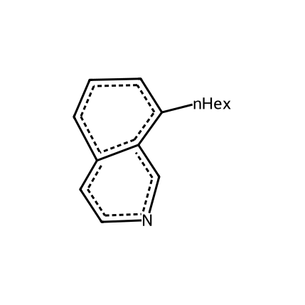 CCCCCCc1cccc2ccncc12